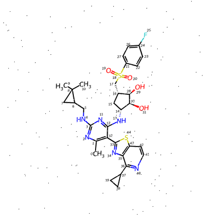 Cc1nc(NCC2CC2(C)C)nc(N[C@@H]2C[C@H](CS(=O)(=O)c3ccc(F)cc3)[C@@H](O)[C@H]2O)c1-c1nc2c(C3CC3)nccc2s1